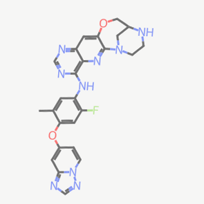 Cc1cc(Nc2ncnc3cc4c(nc23)N2CCNC(CO4)C2)c(F)cc1Oc1ccn2ncnc2c1